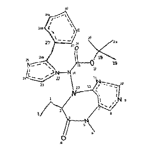 CCC1C(=O)N(C)c2cncnc2N1N(C(=O)OC(C)(C)C)n1ccnc1-c1ccccc1